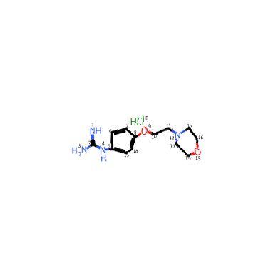 Cl.N=C(N)Nc1ccc(OCCN2CCOCC2)cc1